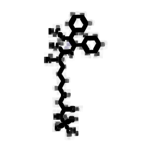 C=N/C(=C(\N=C(/C)N(CCCCOCC(=O)NS(C)(=O)=O)C(C)C)c1ccccc1)c1ccccc1